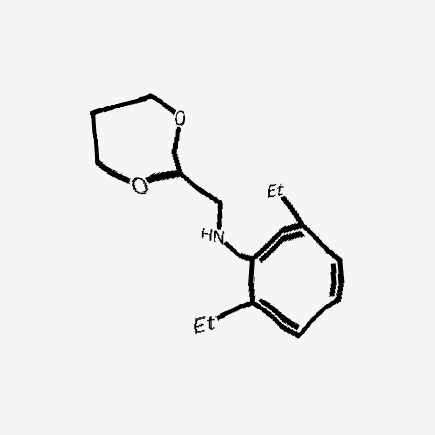 CCc1cccc(CC)c1NCC1OCCCO1